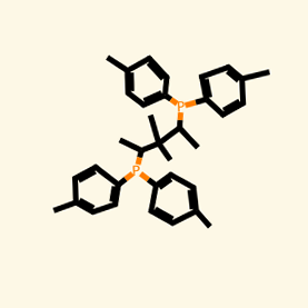 Cc1ccc(P(c2ccc(C)cc2)C(C)C(C)(C)C(C)P(c2ccc(C)cc2)c2ccc(C)cc2)cc1